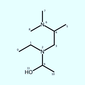 CCN(CC(C)N(C)C)C(C)O